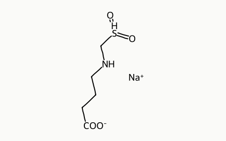 O=C([O-])CCCNC[SH](=O)=O.[Na+]